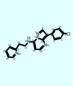 Clc1ccc(-c2cnn3c(NCCc4ccccn4)ccnc23)cc1